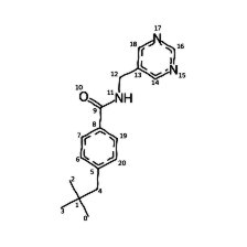 CC(C)(C)Cc1ccc(C(=O)NCc2cncnc2)cc1